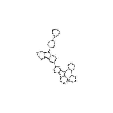 c1ccc(-c2ccc(-n3c4ccccc4c4cc(-c5ccc6c7ccccc7n(-c7ccccc7-c7ccccc7)c6c5)ccc43)cc2)cc1